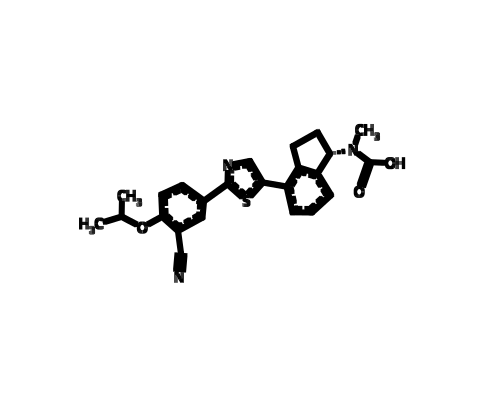 CC(C)Oc1ccc(-c2ncc(-c3cccc4c3CC[C@@H]4N(C)C(=O)O)s2)cc1C#N